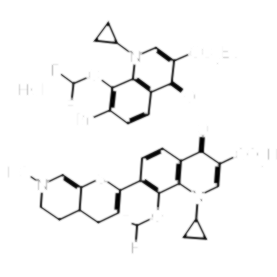 CCOC(=O)c1cn(C2CC2)c2c(OC(F)F)c(Br)ccc2c1=O.CN1C=C2SC(c3ccc4c(=O)c(C(=O)O)cn(C5CC5)c4c3OC(F)F)=CCC2CC1.Cl